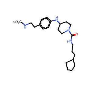 O=C(O)NCCc1ccc(NC2CCN(C(=O)NCCCC3CCCC3)CC2)cc1